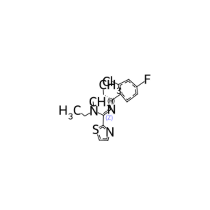 CC[C@@H](/N=C(/c1nccs1)N(C)CC)c1ccc(F)cc1Cl